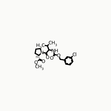 COC(=O)[C@@H]1CCCN1C(=O)C(NC(=O)OCc1cccc(Cl)c1)C(C)C